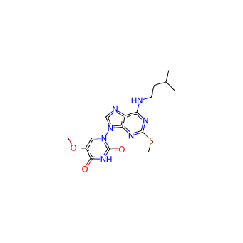 COc1cn(-n2cnc3c(NCCC(C)C)nc(SC)nc32)c(=O)[nH]c1=O